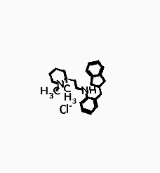 C[N+]1(C)CCCC[C@H]1CCNc1ccccc1CC1Cc2ccccc2C1.[Cl-]